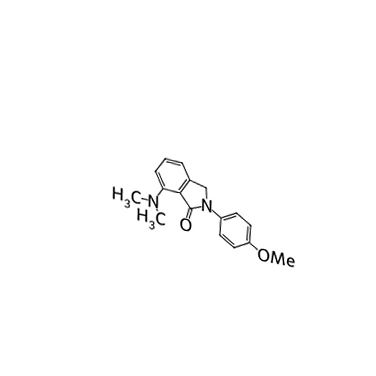 COc1ccc(N2Cc3cccc(N(C)C)c3C2=O)cc1